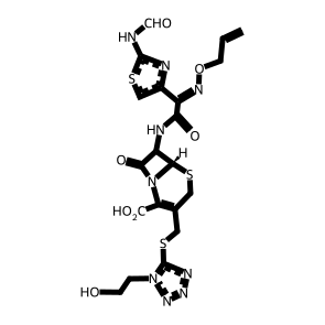 C=CCO/N=C(/C(=O)NC1C(=O)N2C(C(=O)O)=C(CSc3nnnn3CCO)CS[C@H]12)c1csc(NC=O)n1